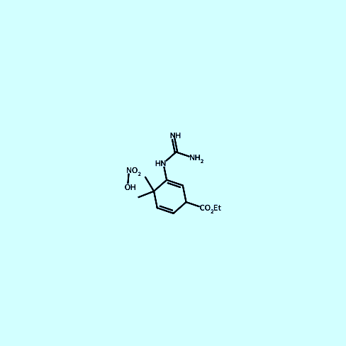 CCOC(=O)C1C=CC(C)(C)C(NC(=N)N)=C1.O=[N+]([O-])O